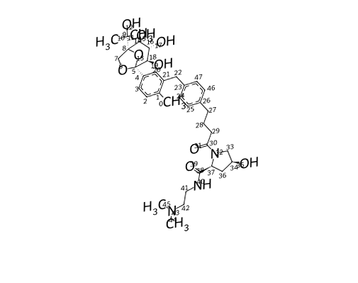 Cc1ccc([C@]23OC[C@](C(C)(C)O)(O2)[C@@H](O)[C@H](O)[C@H]3O)cc1Cc1ccc(CCCC(=O)N2C[C@@H](O)C[C@H]2C(=O)NCCN(C)C)cc1